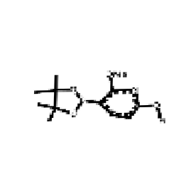 CCOc1ccc(B2OC(C)(C)C(C)(C)O2)c(OC)n1